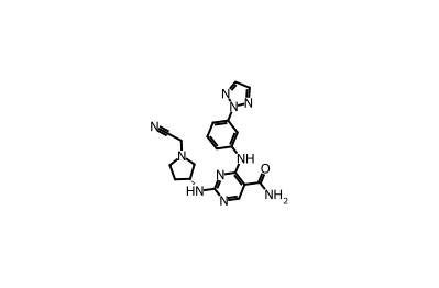 N#CCN1CC[C@@H](Nc2ncc(C(N)=O)c(Nc3cccc(-n4nccn4)c3)n2)C1